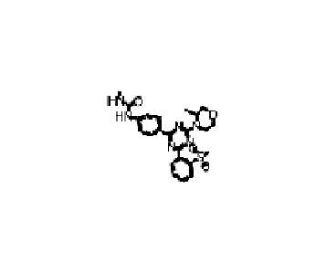 CNC(=O)Nc1ccc(-c2nc(-c3ccccc3S(C)(=O)=O)nc(N3CCOCC3C)n2)cc1